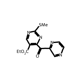 CCOC(=O)c1cnc(SC)nc1C(=O)c1cnccn1